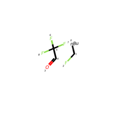 CCCCCF.O=CC(F)(F)F